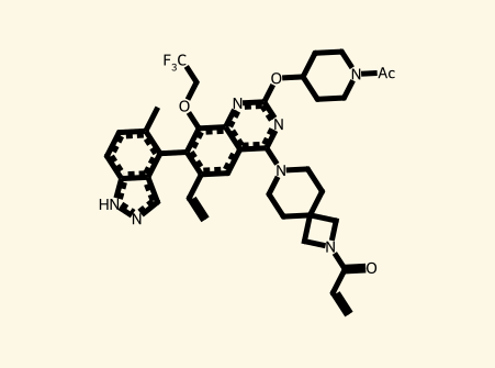 C=CC(=O)N1CC2(CCN(c3nc(OC4CCN(C(C)=O)CC4)nc4c(OCC(F)(F)F)c(-c5c(C)ccc6[nH]ncc56)c(C=C)cc34)CC2)C1